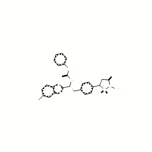 CC(C)(C)N1C(=O)CC(c2ccc(C[C@H](NC(=S)Nc3ccccc3)c3nc4ccc(Cl)cc4[nH]3)cc2)S1(=O)=O